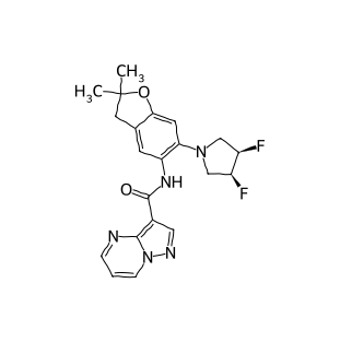 CC1(C)Cc2cc(NC(=O)c3cnn4cccnc34)c(N3C[C@@H](F)[C@@H](F)C3)cc2O1